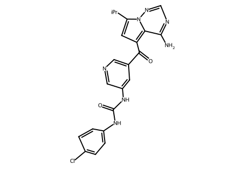 CC(C)c1cc(C(=O)c2cncc(NC(=O)Nc3ccc(Cl)cc3)c2)c2c(N)ncnn12